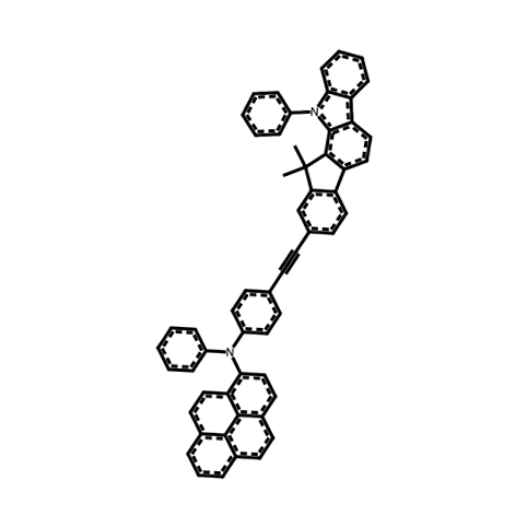 CC1(C)c2cc(C#Cc3ccc(N(c4ccccc4)c4ccc5ccc6cccc7ccc4c5c67)cc3)ccc2-c2ccc3c4ccccc4n(-c4ccccc4)c3c21